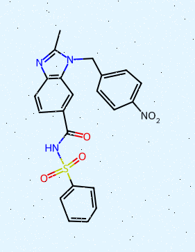 Cc1nc2ccc(C(=O)NS(=O)(=O)c3ccccc3)cc2n1Cc1ccc([N+](=O)[O-])cc1